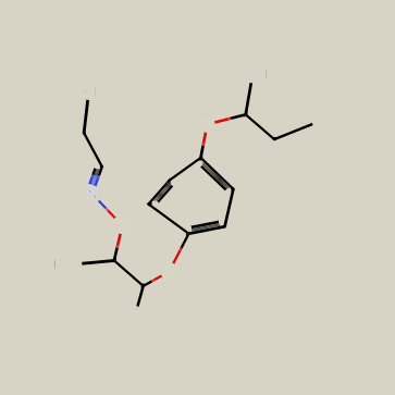 CCC=NOC(C)C(C)Oc1ccc(OC(C)CC)cc1